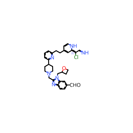 N=C/C(Cl)=C1/C=C(CCc2cccc(C3CCN(Cc4nc5ccc(C=O)cc5n4CC4CCO4)CC3)n2)C=CN1